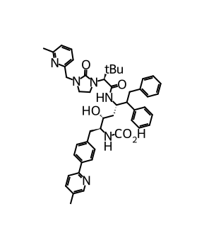 Cc1ccc(-c2ccc(C[C@H](NC(=O)O)[C@H](O)C[C@H](NC(=O)[C@@H](N3CCN(Cc4cccc(C)n4)C3=O)C(C)(C)C)C(Cc3ccccc3)c3ccccc3)cc2)nc1